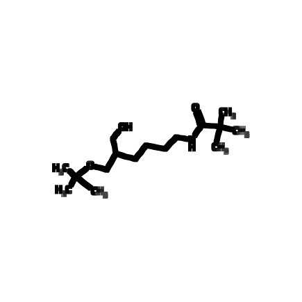 CC(C)(C)OCC(CO)CCCCNC(=O)C(C)(C)C